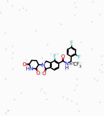 O=C1CCC(N2Cc3c(ccc(C(=O)N[C@H](c4ccc(F)cc4F)C(F)(F)F)c3F)C2=O)C(=O)N1